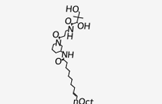 CCCCCCCCC=CCCCCCCCC(=O)NC1CCCN(C(=O)CCNC(=O)C(O)C(C)(C)CO)C1